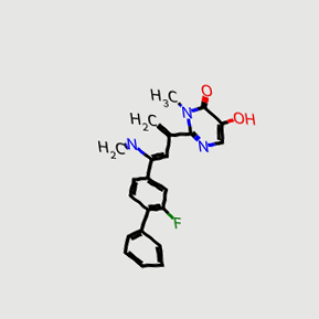 C=N/C(=C\C(=C)c1ncc(O)c(=O)n1C)c1ccc(-c2ccccc2)c(F)c1